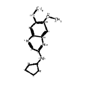 COc1cc2ncc(NC3CCCC3)nc2cc1OC